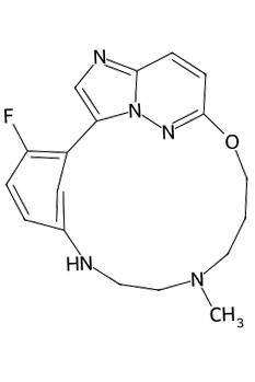 CN1CCCOc2ccc3ncc(n3n2)-c2cc(ccc2F)NCC1